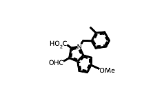 COc1ccc2c(C=O)c(C(=O)O)n(Cc3ccccc3C)c2c1